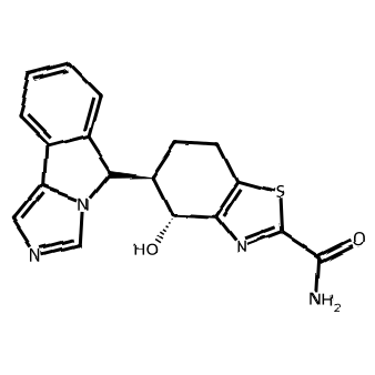 NC(=O)c1nc2c(s1)CC[C@H](C1c3ccccc3-c3cncn31)[C@H]2O